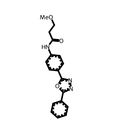 COCCC(=O)Nc1ccc(-c2nnc(-c3ccccc3)o2)cc1